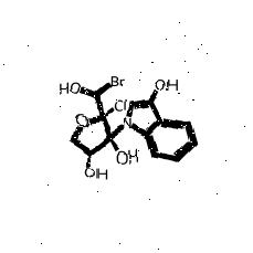 Oc1cn([C@]2(O)[C@@H](O)CO[C@]2(Cl)C(O)Br)c2ccccc12